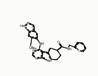 COc1cc2[nH]ncc2cc1Nc1ncnc2[nH]c3c(c12)CC(C(=O)NCc1ccccc1)CC3